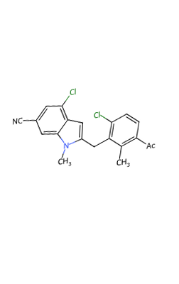 CC(=O)c1ccc(Cl)c(Cc2cc3c(Cl)cc(C#N)cc3n2C)c1C